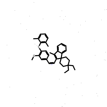 CCC1(CC)CCC2(CC1)C(/C=C\c1ccc(Sc3c(C)cccc3C)c(OC)c1)=C(C)c1ccccc12